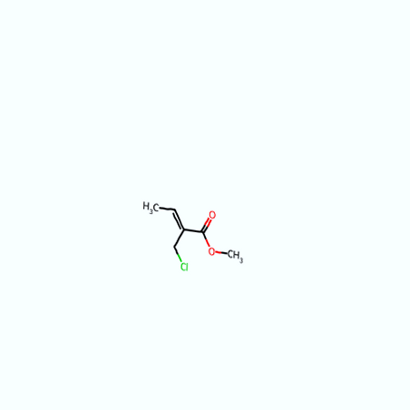 C/C=C(\CCl)C(=O)OC